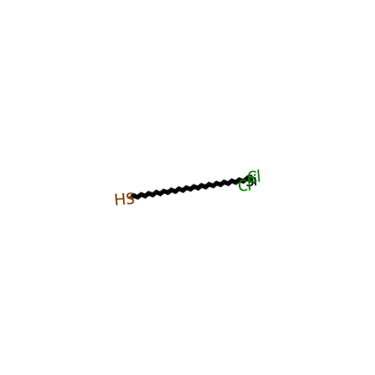 C[Si](Cl)(Cl)CCCCCCCCCCCCCCCCCCCCCCCCCCCCCCCS